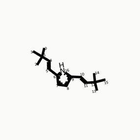 CC(C)(C)/C=C/c1ccc(/C=C/C(C)(C)C)[nH]1